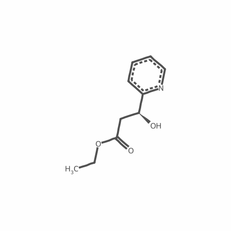 CCOC(=O)C[C@H](O)c1ccccn1